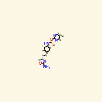 NC1=N[C@@H](CCc2ccc(NC(=O)Oc3ncc(Cl)cn3)cc2)CO1